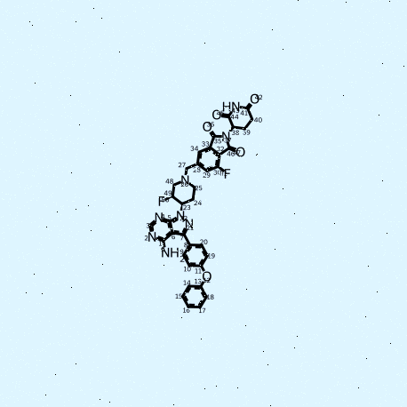 Nc1ncnc2c1c(-c1ccc(Oc3ccccc3)cc1)nn2[C@@H]1CCN(Cc2cc(F)c3c(c2)C(=O)N(C2CCC(=O)NC2=O)C3=O)C[C@@H]1F